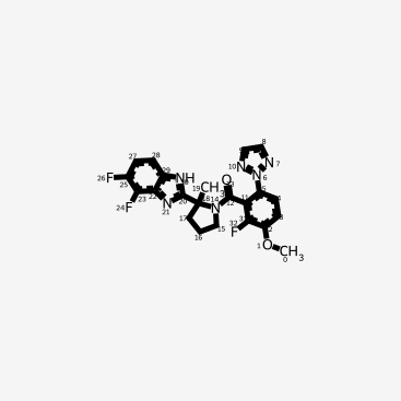 COc1ccc(-n2nccn2)c(C(=O)N2CCCC2(C)c2nc3c(F)c(F)ccc3[nH]2)c1F